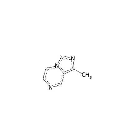 Cc1n[c]n2ccncc12